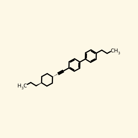 CCCc1ccc(-c2ccc(C#C[C@H]3CC[C@H](CCC)CC3)cc2)cc1